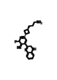 N=C(/C(=C\N[C@H]1C[C@H](CCCN)C1)C1=Nc2ccccc2NC1)C(F)F